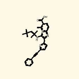 Cc1c(C(=O)O)ccc2nc(-c3ccc(C#Cc4ccccc4)s3)c(NC(C)(C)CC(C)(C)C)n12